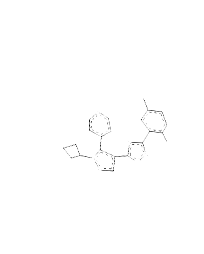 Fc1ccc(F)c(-c2noc(-c3cnn(C4CCC4)c3-c3ccncc3)n2)c1